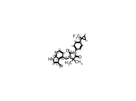 CC1(C)C(=O)N(c2ccc(C3(C(F)(F)F)CC3)cc2)C(=O)N1Cc1ccnc2[nH]cc(Br)c12